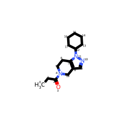 CCC(=O)N1CCc2c(cnn2C2CCCCC2)C1